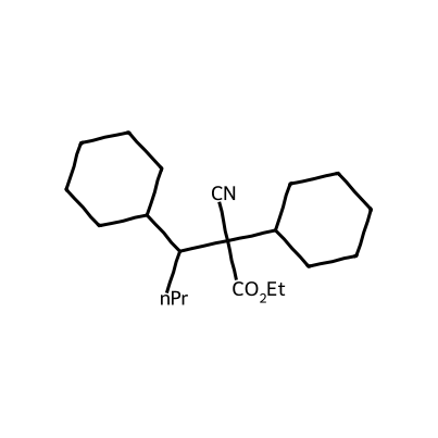 CCCC(C1CCCCC1)C(C#N)(C(=O)OCC)C1CCCCC1